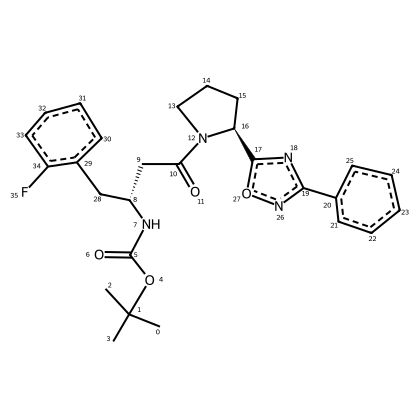 CC(C)(C)OC(=O)N[C@@H](CC(=O)N1CCC[C@H]1c1nc(-c2ccccc2)no1)Cc1ccccc1F